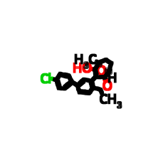 CCc1ccc(-c2ccc(Cl)cc2)cc1C1=C(O)[C@@]2(C)CC[C@H](O2)C1=O